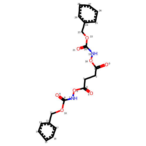 O=C(CCC(=O)ONC(=O)OCc1ccccc1)ONC(=O)OCc1ccccc1